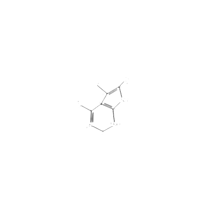 CCc1[nH]c2c(c1C)C(Cl)=NCN2